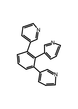 c1cncc(-c2cccc(-c3cccnc3)c2-c2cccnc2)c1